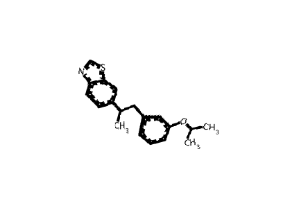 CC(C)Oc1cccc(CC(C)c2ccc3ncsc3c2)c1